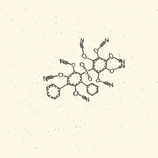 N#COc1c(OC#N)c(OC#N)c(S(=O)(=O)c2c(OC#N)c(OC#N)c(-c3ccccc3)c(OC#N)c2-c2ccccc2)c(OC#N)c1OC#N